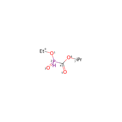 CCO[PH](=O)C(=O)OC(C)C